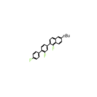 CCCCc1ccc2c(F)c(-c3ccc(-c4ccc(F)cc4)c(F)c3)ccc2c1